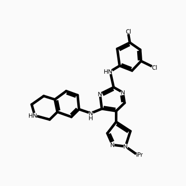 CC(C)n1cc(-c2cnc(Nc3cc(Cl)cc(Cl)c3)nc2Nc2ccc3c(c2)CNCC3)cn1